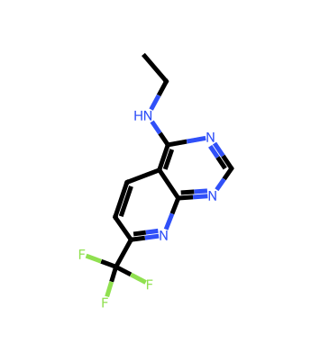 CCNc1ncnc2nc(C(F)(F)F)ccc12